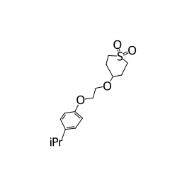 CC(C)c1ccc(OCCOC2CCS(=O)(=O)CC2)cc1